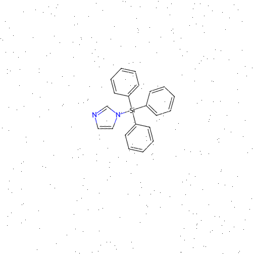 c1ccc([Si](c2ccccc2)(c2ccccc2)n2ccnc2)cc1